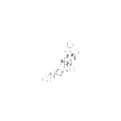 Cn1c(=O)c(-c2ccccc2)nc2cnc(Nc3ccc(N4CCOCC4)cc3)nc21